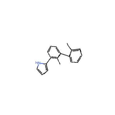 Cc1ccccc1-c1cccc(-c2ccc[nH]2)c1C